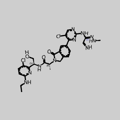 CCNc1ccc(Cl)c([C@@H](CO)NC(=O)[C@@H](C)N2Cc3ccc(-c4nc(N/C(C=N)=N/NC)ncc4Cl)cc3C2=O)n1